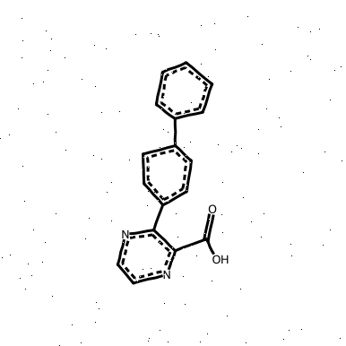 O=C(O)c1nccnc1-c1ccc(-c2ccccc2)cc1